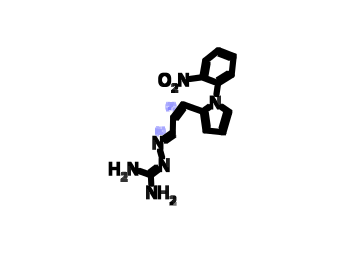 NC(N)=N/N=C/C=C\c1cccn1-c1ccccc1[N+](=O)[O-]